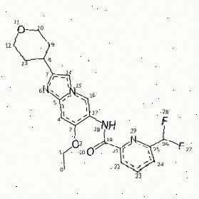 CCOc1cc2nc(C3CCOCC3)cn2cc1NC(=O)c1cccc(C(F)F)n1